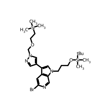 CC(C)(C)[Si](C)(C)OCCCn1cc(-c2cnn(COCC[Si](C)(C)C)c2)c2cc(Br)ncc21